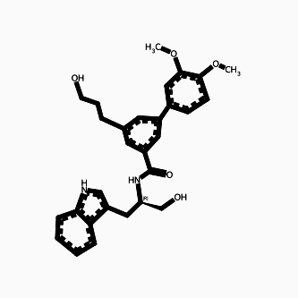 COc1ccc(-c2cc(CCCO)cc(C(=O)N[C@@H](CO)Cc3c[nH]c4ccccc34)c2)cc1OC